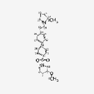 COC1CCCN(S(=O)(=O)c2ccc(-c3ccc(CCN4CCCC4C)cc3)cc2)C1